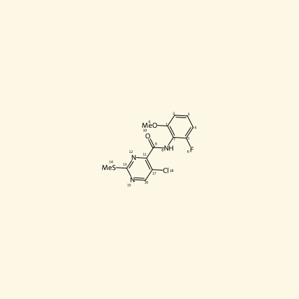 COc1cccc(F)c1NC(=O)c1nc(SC)ncc1Cl